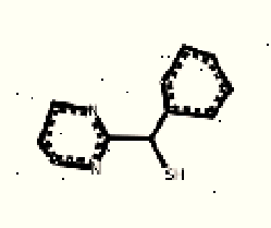 SC(c1ccccc1)c1ncccn1